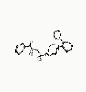 O=C(NCC(=O)N1CCN(c2ccccc2-c2ccccc2)CC1)c1ccccc1